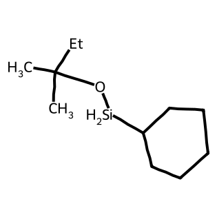 CCC(C)(C)O[SiH2]C1CCCCC1